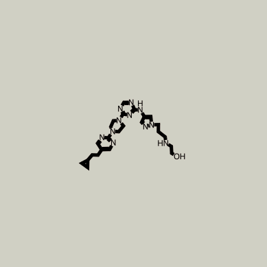 OCCNCCCn1cc(Nc2ncnc(N3CCN(c4ncc(CCC5CC5)cn4)CC3)n2)cn1